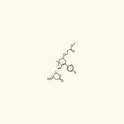 CCOC(=O)CCOC1CC(c2ccc(F)cc2)=C(C=C[C@H]2C[C@H](O)CC(=O)O2)C(C)(C)C1